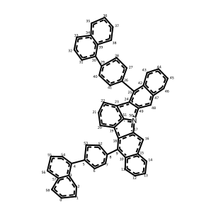 c1ccc2c(-c3ccc(-c4c5ccccc5cc5c4c4cccc6c7c(-c8ccc(-c9cccc%10ccccc9%10)cc8)c8ccccc8cc7n5c46)cc3)cccc2c1